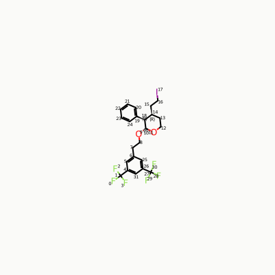 FC(F)(F)c1cc(CCO[C@H]2OCC[C@H](CCI)[C@@H]2c2ccccc2)cc(C(F)(F)F)c1